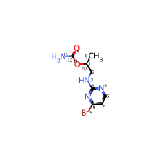 C[C@@H](CNc1nccc(Br)n1)OC(N)=O